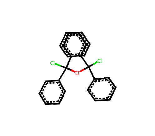 ClC(OC(Cl)(c1ccccc1)c1ccccc1)(c1ccccc1)c1ccccc1